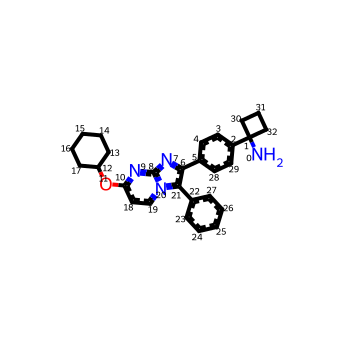 NC1(c2ccc(-c3nc4nc(OC5CCCCC5)ccn4c3-c3ccccc3)cc2)CCC1